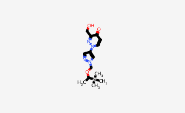 CC(OCn1cc(-n2ccc(=O)c(CO)n2)cn1)[Si](C)(C)C